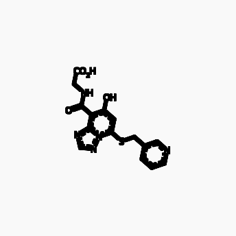 O=C(O)CNC(=O)c1c(O)cc(SCc2cccnc2)n2ncnc12